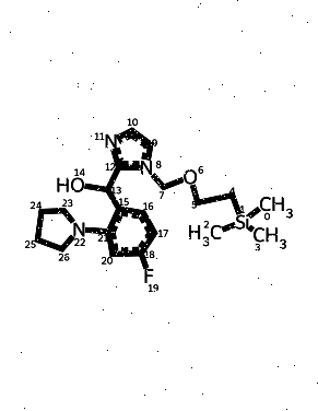 C[Si](C)(C)CCOCn1ccnc1C(O)c1ccc(F)cc1N1CCCC1